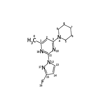 Cc1cc(N2CCCCC2)nc(-n2ccc(F)n2)n1